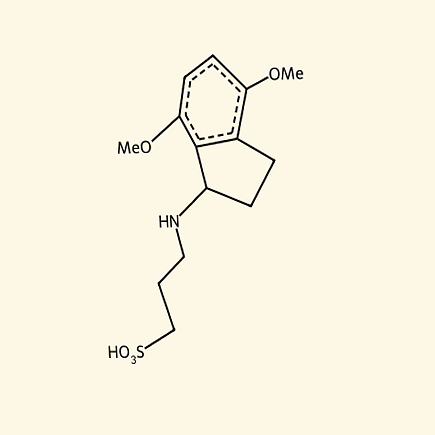 COc1ccc(OC)c2c1CCC2NCCCS(=O)(=O)O